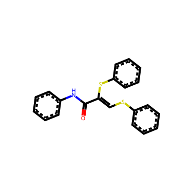 O=C(Nc1ccccc1)/C(=C/Sc1ccccc1)Sc1ccccc1